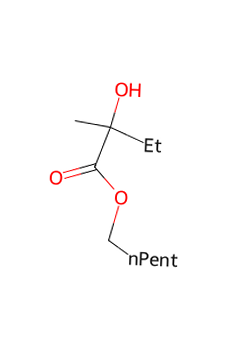 CCCCCCOC(=O)C(C)(O)CC